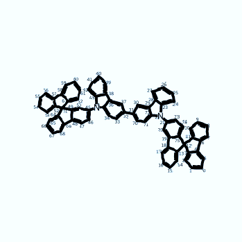 c1ccc2c(c1)-c1ccccc1C21c2ccccc2-c2cc(-n3c4ccccc4c4cc(-c5ccc6c(c5)c5ccccc5n6-c5ccc6c(c5)C5(c7ccccc7-c7ccccc75)c5ccccc5-6)ccc43)ccc21